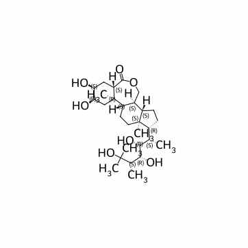 C[C@H]([C@@H](O)[C@H](O)[C@H](C)C(C)(C)O)[C@H]1CC[C@H]2[C@@H]3COC(=O)[C@H]4C[C@H](O)[C@H](O)C[C@]4(C)[C@H]3CC[C@]12C